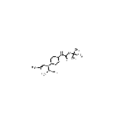 C/N=C/N(C1CCC(NC(=O)OC(C)(C)C)CC1)N(C)N